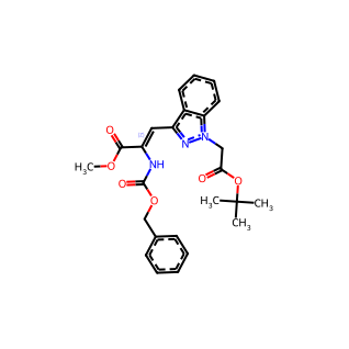 COC(=O)/C(=C/c1nn(CC(=O)OC(C)(C)C)c2ccccc12)NC(=O)OCc1ccccc1